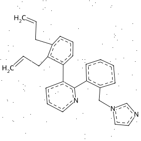 C=CCc1cccc(-c2cccnc2-c2ccccc2Cn2ccnc2)c1CC=C